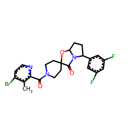 Cc1c(Br)ccnc1C(=O)N1CCC2(CC1)OC1CCC(c3cc(F)cc(F)c3)N1C2=O